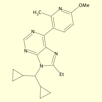 CCc1nc2c(-c3ccc(OC)nc3C)ncnc2n1C(C1CC1)C1CC1